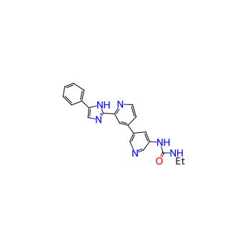 CCNC(=O)Nc1cncc(-c2ccnc(-c3ncc(-c4ccccc4)[nH]3)c2)c1